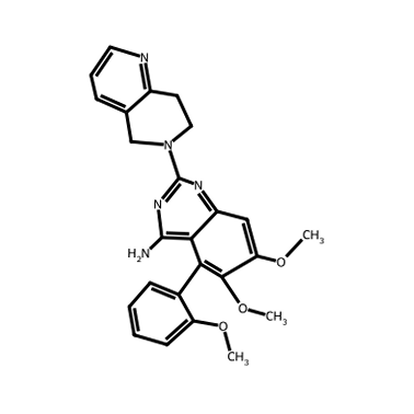 COc1ccccc1-c1c(OC)c(OC)cc2nc(N3CCc4ncccc4C3)nc(N)c12